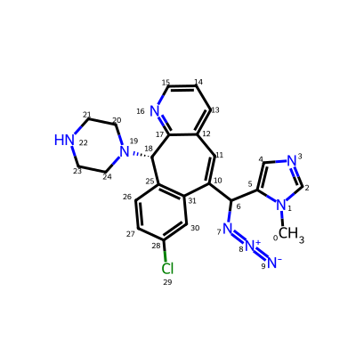 Cn1cncc1C(N=[N+]=[N-])C1=Cc2cccnc2[C@@H](N2CCNCC2)c2ccc(Cl)cc21